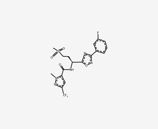 Cn1nc(C(F)(F)F)cc1C(=O)N[C@@H](CCS(C)(=O)=O)c1nc(-c2cccc(F)c2)no1